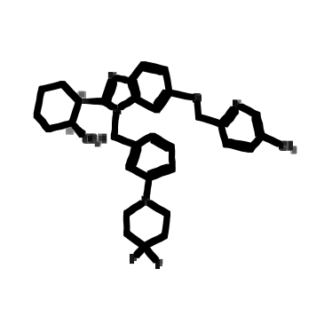 Cc1ccc(COc2ccc3nc([C@@H]4CCCC[C@@H]4C(=O)O)n(Cc4cccc(N5CCC(F)(F)CC5)c4)c3c2)nc1